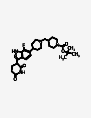 CC(C)(C)OC(=O)N1CCC(CN2CCC(c3ccc4c(C5CCC(=O)NC5=O)n[nH]c4c3F)CC2)CC1